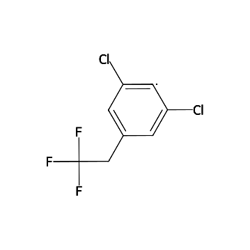 FC(F)(F)Cc1cc(Cl)[c]c(Cl)c1